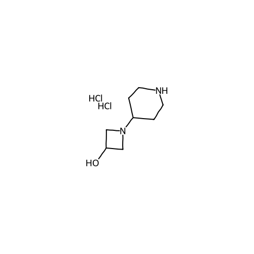 Cl.Cl.OC1CN(C2CCNCC2)C1